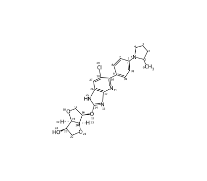 CC1CCCN1c1ccc(-c2nc3nc(O[C@@H]4CO[C@H]5[C@@H]4OC[C@H]5O)[nH]c3cc2Cl)cc1